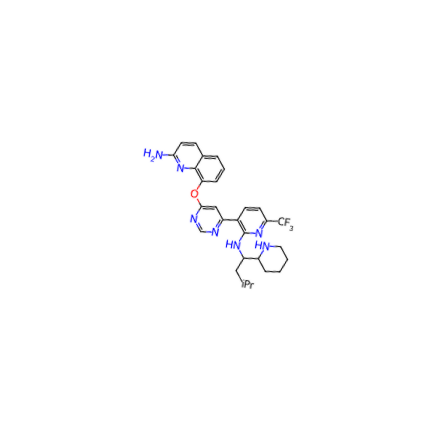 CC(C)CC(Nc1nc(C(F)(F)F)ccc1-c1cc(Oc2cccc3ccc(N)nc23)ncn1)C1CCCCN1